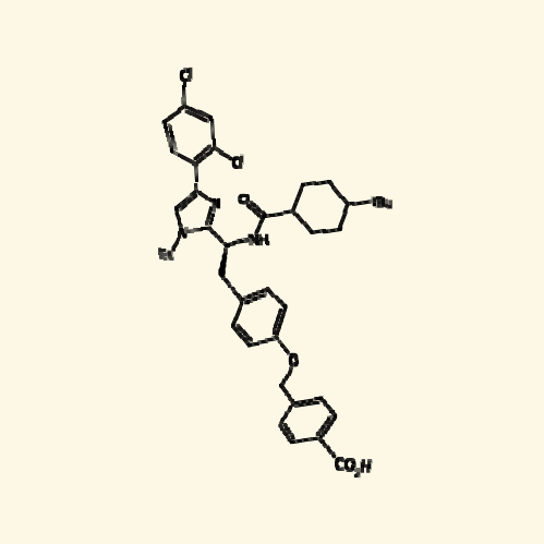 CCn1cc(-c2ccc(Cl)cc2Cl)nc1[C@H](Cc1ccc(OCc2ccc(C(=O)O)cc2)cc1)NC(=O)C1CCC(C(C)(C)C)CC1